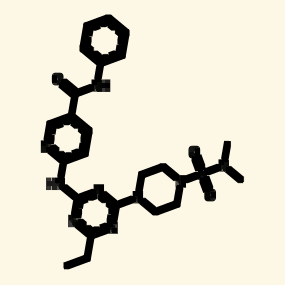 CCc1nc(Nc2ccc(C(=O)Nc3ccccc3)cn2)nc(N2CCN(S(=O)(=O)N(C)C)CC2)n1